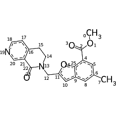 COC(=O)c1cc(C)cc2cc(CN3CCc4ccncc4C3=O)oc12